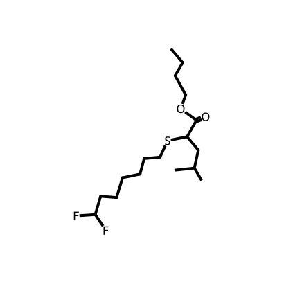 CCCCOC(=O)C(CC(C)C)SCCCCCCC(F)F